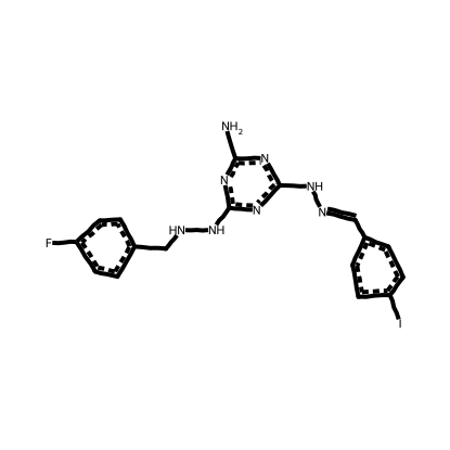 Nc1nc(NN=Cc2ccc(I)cc2)nc(NNCc2ccc(F)cc2)n1